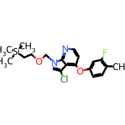 Cc1ccc(Oc2ccnc3c2c(Cl)cn3COCC[Si](C)(C)C)cc1F